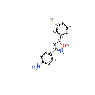 Nc1ccc(-c2cc(-c3cccc(F)c3)on2)cc1